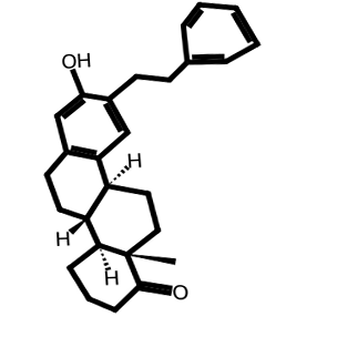 C[C@]12CC[C@@H]3c4cc(CCc5ccccc5)c(O)cc4CC[C@H]3[C@@H]1CCCC2=O